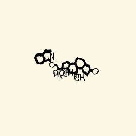 CC12C=CC(=O)C=C1CCC1C2[C@@H](O)CC2(C)C1CC[C@]2(O)C(=O)COc1nccc2ccccc12